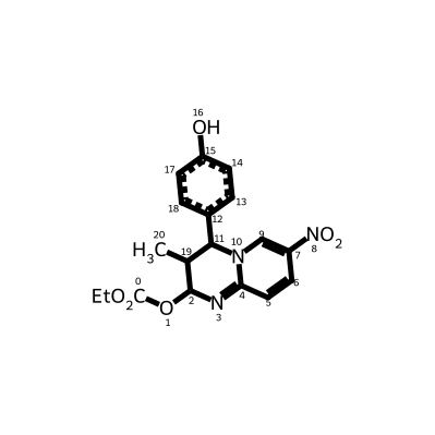 CCOC(=O)OC1N=C2C=CC([N+](=O)[O-])=CN2C(c2ccc(O)cc2)C1C